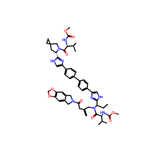 C=C(CC(=O)N1Cc2cc3c(cc2C1)OCO3)CN(C(=O)[C@@H](NC(=O)OC)C(C)C)C(CC)c1nc(-c2ccc(-c3ccc(-c4c[nH]c([C@@H]5CC6(CC6)CN5C(=O)[C@@H](NC(=O)OC)C(C)C)n4)cc3)cc2)c[nH]1